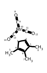 CC1=CCC(C)=C1C.O=[C]=[Mn](=[C]=O)=[C]=O